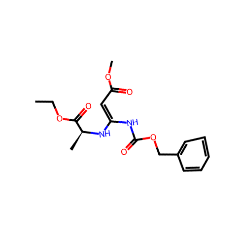 CCOC(=O)[C@H](C)NC(=CC(=O)OC)NC(=O)OCc1ccccc1